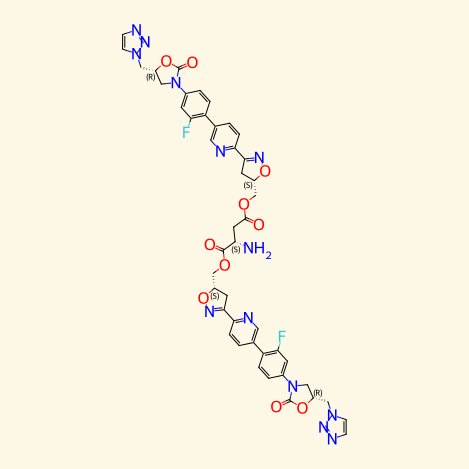 N[C@@H](CC(=O)OC[C@@H]1CC(c2ccc(-c3ccc(N4C[C@H](Cn5ccnn5)OC4=O)cc3F)cn2)=NO1)C(=O)OC[C@@H]1CC(c2ccc(-c3ccc(N4C[C@H](Cn5ccnn5)OC4=O)cc3F)cn2)=NO1